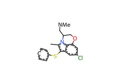 CNCC1COc2cc(Cl)cc3c(Sc4ccccc4)c(C)n1c23